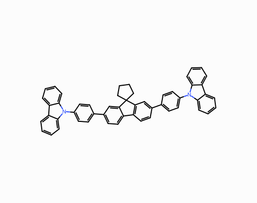 c1ccc2c(c1)c1ccccc1n2-c1ccc(-c2ccc3c(c2)C2(CCCC2)c2cc(-c4ccc(-n5c6ccccc6c6ccccc65)cc4)ccc2-3)cc1